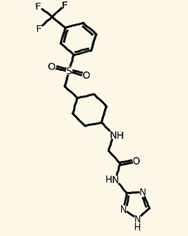 O=C(CNC1CCC(CS(=O)(=O)c2cccc(C(F)(F)F)c2)CC1)Nc1nc[nH]n1